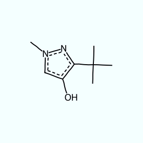 Cn1cc(O)c(C(C)(C)C)n1